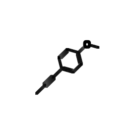 CC#Cc1ccc(OC)cc1